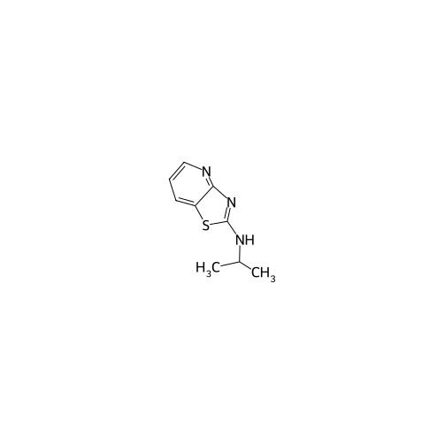 CC(C)Nc1nc2ncccc2s1